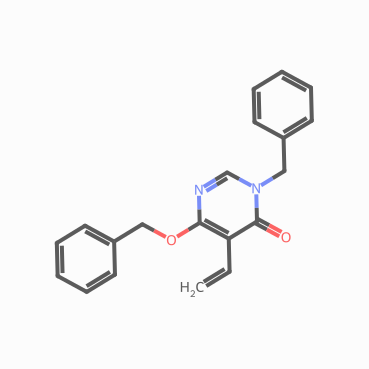 C=Cc1c(OCc2ccccc2)ncn(Cc2ccccc2)c1=O